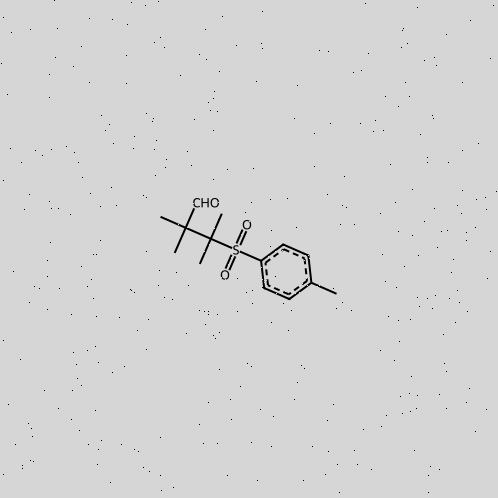 Cc1ccc(S(=O)(=O)C(C)(C)C(C)(C)C=O)cc1